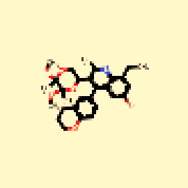 CCc1cc(Br)cc2c(-c3ccc4c(c3)CCCO4)c(C3COC(C)(OC)C(C)(OC)O3)c(C)nc12